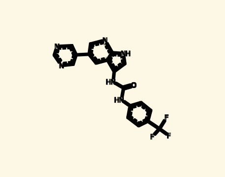 O=C(Nc1ccc(C(F)(F)F)cc1)Nc1c[nH]c2ncc(-c3cncnc3)cc12